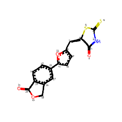 O=C1NC(=S)SC1=Cc1ccc(-c2ccc3c(c2)COC3=O)o1